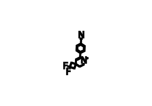 CN1CCC2(C=C1c1ccc(C#N)cc1)CC(F)(F)C2